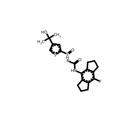 CC(C)(O)c1csc(/[SH](=O)=N/C(=O)Nc2c3c(c(F)c4c2CCC4)CCC3)c1